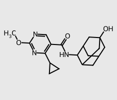 COc1ncc(C(=O)NC2C3CC4CC2CC(O)(C4)C3)c(C2CC2)n1